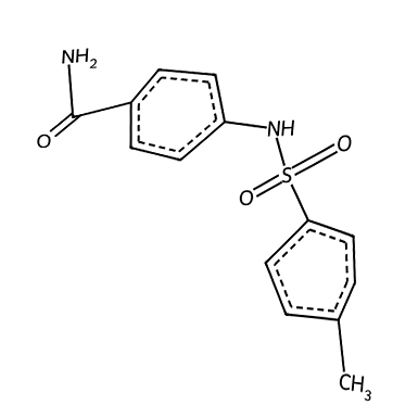 Cc1ccc(S(=O)(=O)Nc2ccc(C(N)=O)cc2)cc1